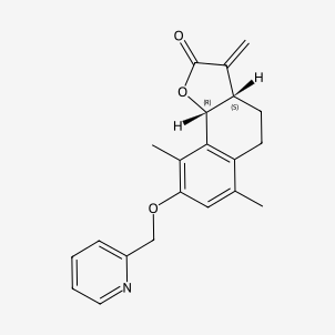 C=C1C(=O)O[C@H]2c3c(C)c(OCc4ccccn4)cc(C)c3CC[C@@H]12